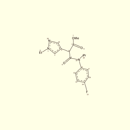 CCn1cc(C(C(=O)OC)C(=O)N(c2ccc(F)cc2)C(C)C)cn1